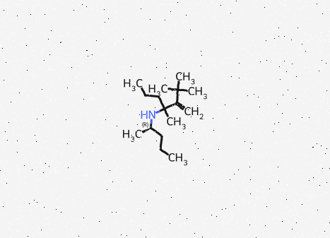 C=C(C(C)(C)C)C(C)(CCC)N[C@H](C)CCC